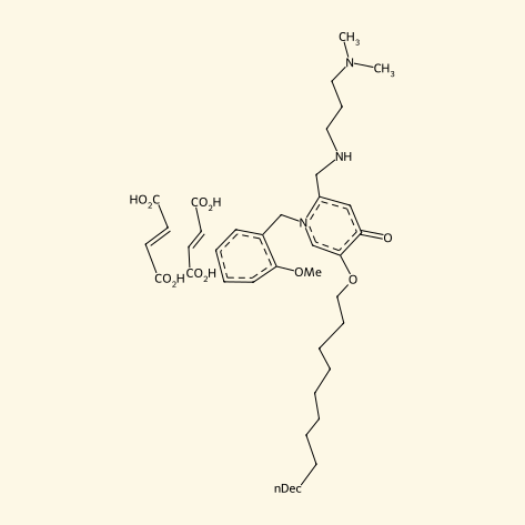 CCCCCCCCCCCCCCCCCCOc1cn(Cc2ccccc2OC)c(CNCCCN(C)C)cc1=O.O=C(O)/C=C/C(=O)O.O=C(O)/C=C/C(=O)O